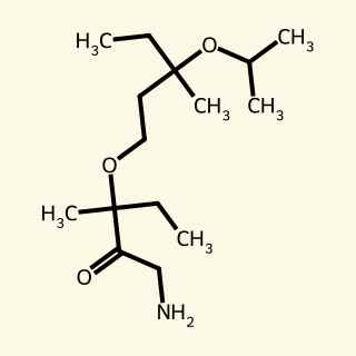 CCC(C)(CCOC(C)(CC)C(=O)CN)OC(C)C